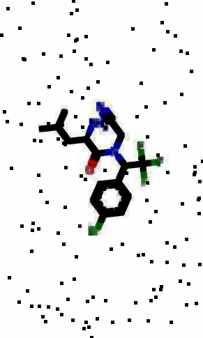 CC(C)C[C@@H](N)C(=O)N(CC#N)C(c1ccc(Br)cc1)C(F)(F)F